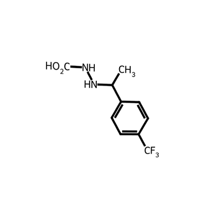 CC(NNC(=O)O)c1ccc(C(F)(F)F)cc1